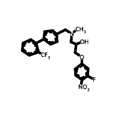 CN(Cc1ccc(-c2ccccc2C(F)(F)F)cc1)CC(O)COc1ccc([N+](=O)[O-])c(F)c1